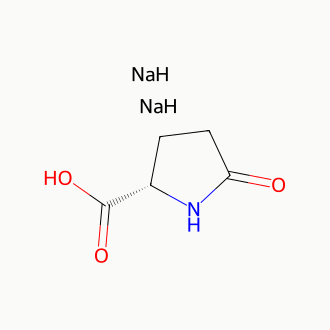 O=C1CC[C@@H](C(=O)O)N1.[NaH].[NaH]